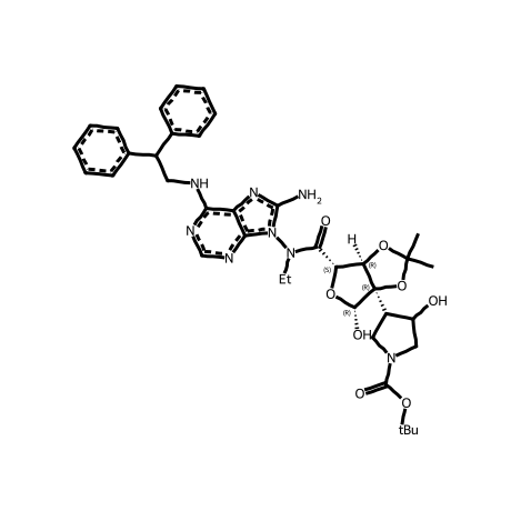 CCN(C(=O)[C@H]1O[C@@H](O)[C@]2(C3CN(C(=O)OC(C)(C)C)CC3O)OC(C)(C)O[C@H]12)n1c(N)nc2c(NCC(c3ccccc3)c3ccccc3)ncnc21